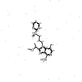 COC(C)c1nc2c(N)ncc(C)c2n1CCC[S+]([O-])c1ncccn1